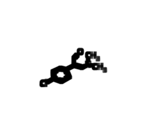 CN(C)/C=C(\C=O)c1ccc(Cl)cc1